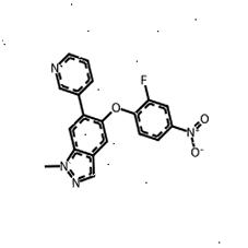 Cn1ncc2cc(Oc3ccc([N+](=O)[O-])cc3F)c(-c3cccnc3)cc21